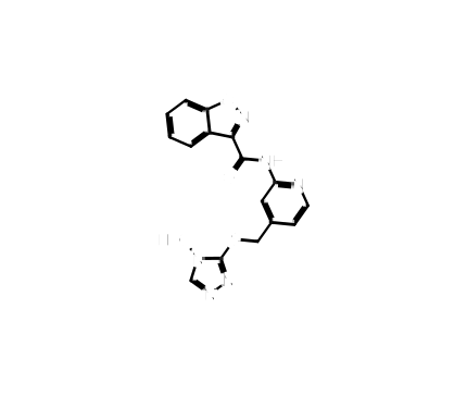 Cn1cnnc1SCc1ccnc(NC(=O)c2noc3ccccc23)c1